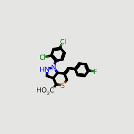 O=C(O)C1SCC(=Cc2ccc(F)cc2)C2C1CNN2c1ccc(Cl)cc1Cl